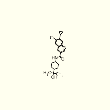 CC(C)(O)[C@H]1CC[C@H](NC(=O)c2cnc3cc(C4CC4)c(Cl)cc3c2)CC1